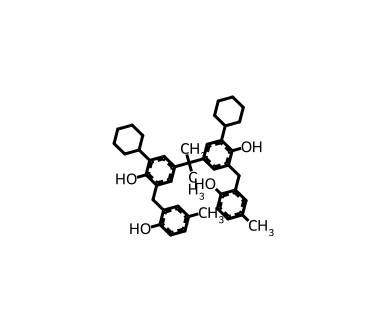 Cc1ccc(O)c(Cc2cc(C(C)(C)c3cc(Cc4cc(C)ccc4O)c(O)c(C4CCCCC4)c3)cc(C3CCCCC3)c2O)c1